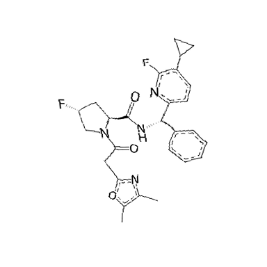 Cc1nc(CC(=O)N2C[C@H](F)C[C@H]2C(=O)N[C@@H](c2ccccc2)c2ccc(C3CC3)c(F)n2)oc1C